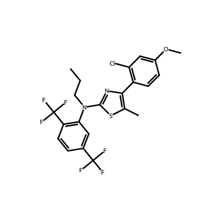 CCCN(c1nc(-c2ccc(OC)cc2Cl)c(C)s1)c1cc(C(F)(F)F)ccc1C(F)(F)F